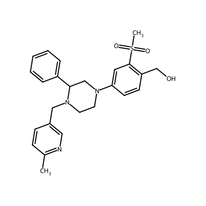 Cc1ccc(CN2CCN(c3ccc(CO)c(S(C)(=O)=O)c3)CC2c2ccccc2)cn1